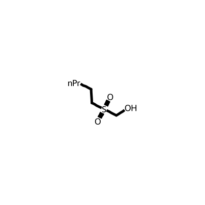 CCCCCS(=O)(=O)CO